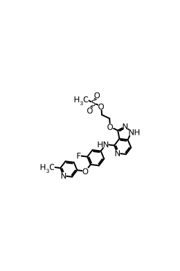 Cc1ccc(Oc2ccc(Nc3nccc4[nH]nc(OCCOS(C)(=O)=O)c34)cc2F)cn1